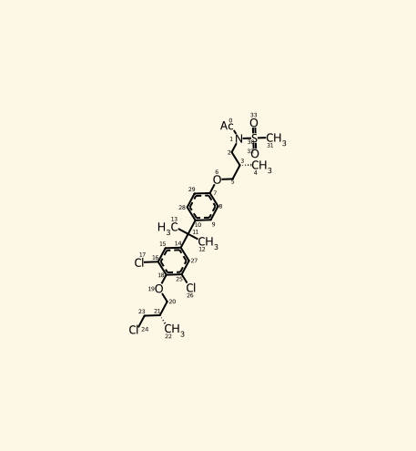 CC(=O)N(C[C@H](C)COc1ccc(C(C)(C)c2cc(Cl)c(OC[C@H](C)CCl)c(Cl)c2)cc1)S(C)(=O)=O